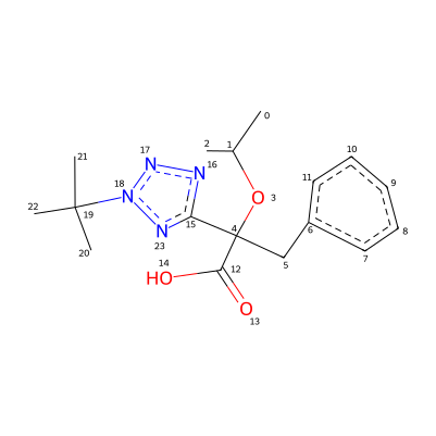 CC(C)OC(Cc1ccccc1)(C(=O)O)c1nnn(C(C)(C)C)n1